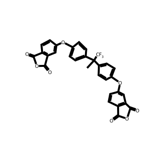 CC(c1ccc(Oc2ccc3c(c2)C(=O)OC3=O)cc1)(c1ccc(Oc2ccc3c(c2)C(=O)OC3=O)cc1)C(F)(F)F